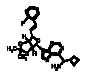 CC1(C)O[C@H]2[C@H](O1)[C@@H](C=Cc1ccccc1F)O[C@H]2n1cnc2c(C(N)C3CCC3)ncnc21